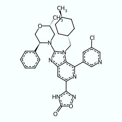 C[C@@H]1CN(c2nc3cc(-c4noc(=O)[nH]4)nc(-c4cncc(Cl)c4)c3n2C[C@H]2CC[C@H](C)CC2)[C@@H](c2ccccc2)CO1